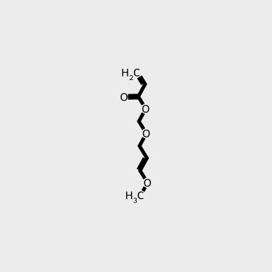 C=CC(=O)OCOCC=COC